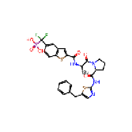 CC(C)(C)C(NC(=O)c1cc2cc(C(F)(F)P(=O)(O)O)ccc2s1)C(=O)N1CCCC1C(=O)Nc1ncc(Cc2ccccc2)s1